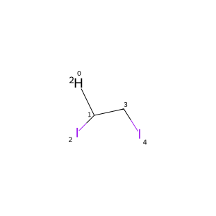 [2H]C(I)CI